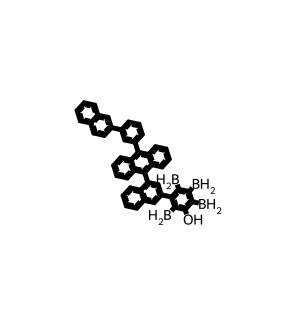 Bc1c(B)c(O)c(B)c(-c2cc(-c3c4ccccc4c(-c4cccc(-c5ccc6ccccc6c5)c4)c4ccccc34)c3ccccc3c2)c1B